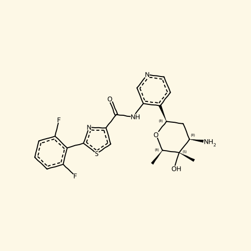 C[C@H]1O[C@@H](c2ccncc2NC(=O)c2csc(-c3c(F)cccc3F)n2)C[C@@H](N)[C@]1(C)O